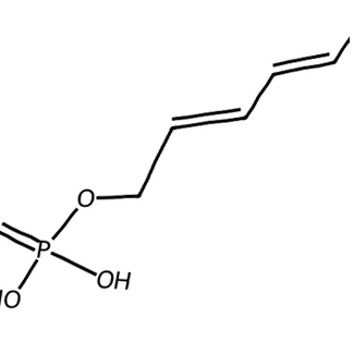 CC=CC=CCOP(=O)(O)O